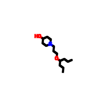 CCCC(CCC)OCCCN1CCC(O)CC1